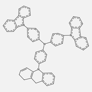 C1=CC2=C(CC1)Cc1ccccc1N2c1ccc(N(c2ccc(-n3c4ccccc4c4ccccc43)cc2)c2ccc(-n3c4ccccc4c4ccccc43)cc2)cc1